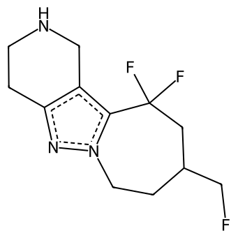 FCC1CCn2nc3c(c2C(F)(F)C1)CNCC3